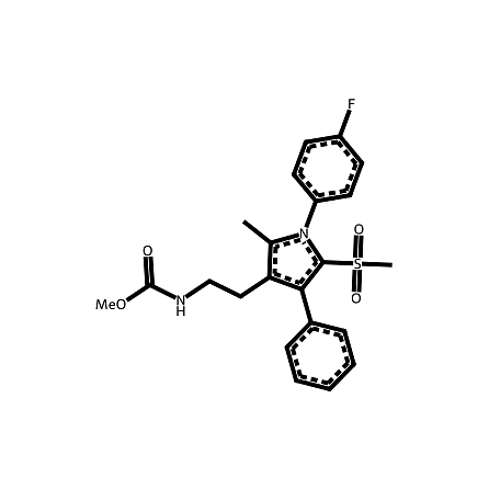 COC(=O)NCCc1c(-c2ccccc2)c(S(C)(=O)=O)n(-c2ccc(F)cc2)c1C